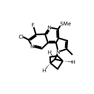 CSc1nc2c(F)c(Cl)ncc2c2c1cc(C)n2[C@@H]1[C@@H]2CC[C@H]1C2